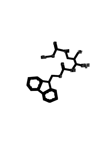 CC(C)C(CNC(=O)OC(C)(C)C)C(NC(=O)OCC1c2ccccc2-c2ccccc21)C(=O)O